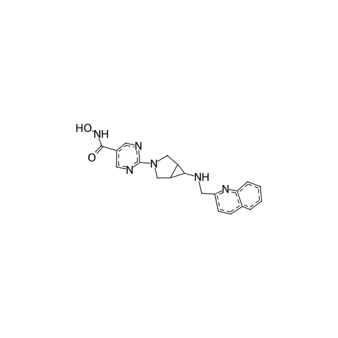 O=C(NO)c1cnc(N2CC3C(C2)C3NCc2ccc3ccccc3n2)nc1